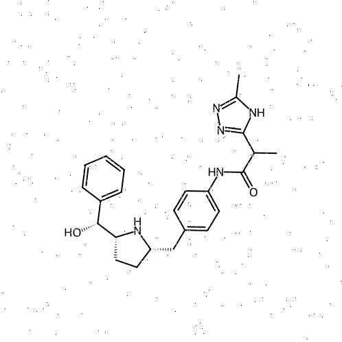 Cc1nnc(C(C)C(=O)Nc2ccc(C[C@@H]3CC[C@H]([C@H](O)c4ccccc4)N3)cc2)[nH]1